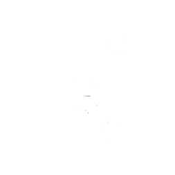 c1ccc(COc2ccc3c(C4CCCC4)nn(Cc4ccccc4)c3c2)cc1